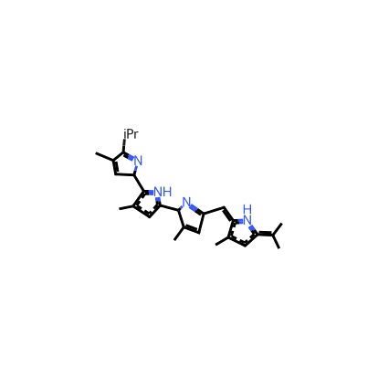 CC1=CC(c2[nH]c(C3N=C(C=c4[nH]c(=C(C)C)cc4C)C=C3C)cc2C)N=C1C(C)C